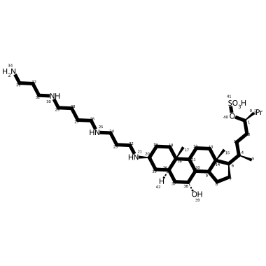 CC(C)[C@@H](CC[C@@H](C)[C@H]1CCC2C3C(CC[C@@]21C)[C@@]1(C)CC[C@H](NCCCNCCCCNCCCN)C[C@@H]1C[C@H]3O)OS(=O)(=O)O